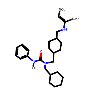 CNC(=C[N+](=O)[O-])NCC1CCC(CN(CC2CCCCC2)C(=O)N(C)c2ccccc2)CC1